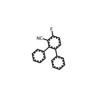 N#Cc1c(F)ccc(-c2ccccc2)c1-c1ccccc1